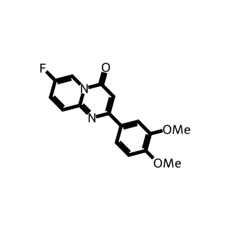 COc1ccc(-c2cc(=O)n3cc(F)ccc3n2)cc1OC